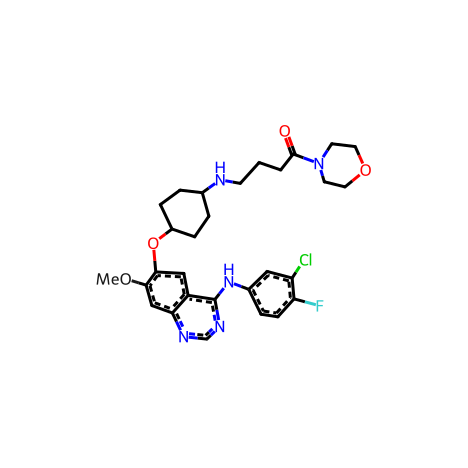 COc1cc2ncnc(Nc3ccc(F)c(Cl)c3)c2cc1OC1CCC(NCCCC(=O)N2CCOCC2)CC1